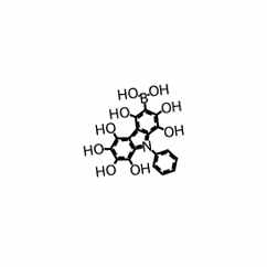 OB(O)c1c(O)c(O)c2c(c1O)c1c(O)c(O)c(O)c(O)c1n2-c1ccccc1